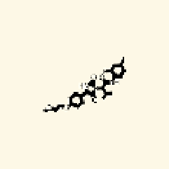 COCCOc1ccc(C2NC(=O)N(C(C(=O)Nc3ccc(I)cc3F)C(C)C)C2=O)cc1